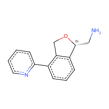 NC[C@H]1OCc2c(-c3ccccn3)cccc21